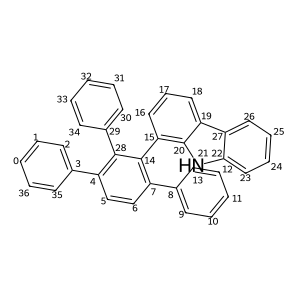 c1ccc(-c2ccc(-c3ccccc3)c(-c3cccc4c3[nH]c3ccccc34)c2-c2ccccc2)cc1